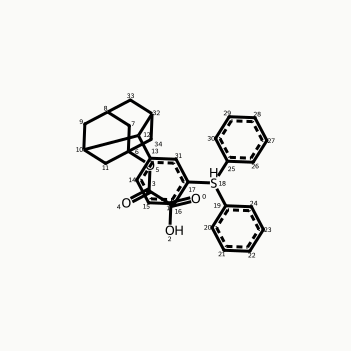 O=C(O)C(=O)OC12CC3CC(C1)C(c1cccc([SH](c4ccccc4)c4ccccc4)c1)C(C3)C2